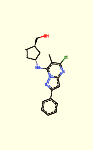 Cc1c(Cl)nc2cc(-c3ccccc3)nn2c1N[C@@H]1[CH][CH][C@@H](CO)C1